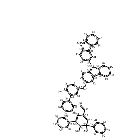 Cc1ccc(Oc2ccc3c(c2)c2ccccc2n3-c2ccc3sc4ccccc4c3c2)cc1-c1ccccc1/C=C\C1=CC(C)(c2ccccc2)C(C)C(c2ccccc2)=C1